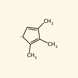 CC1=C[C]C(C)=C1C